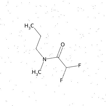 CCCN(C)C(=O)C(F)F